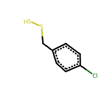 SSCc1ccc(Cl)cc1